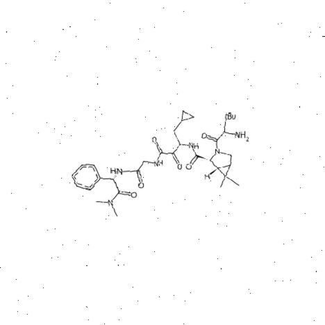 CN(C)C(=O)[C@@H](NC(=O)CNC(=O)C(=O)C(CC1CC1)NC(=O)[C@@H]1[C@@H]2C(CN1C(=O)C(N)C(C)(C)C)C2(C)C)c1ccccc1